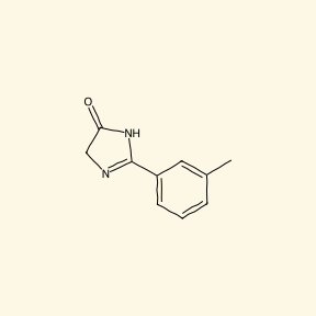 Cc1cccc(C2=NCC(=O)N2)c1